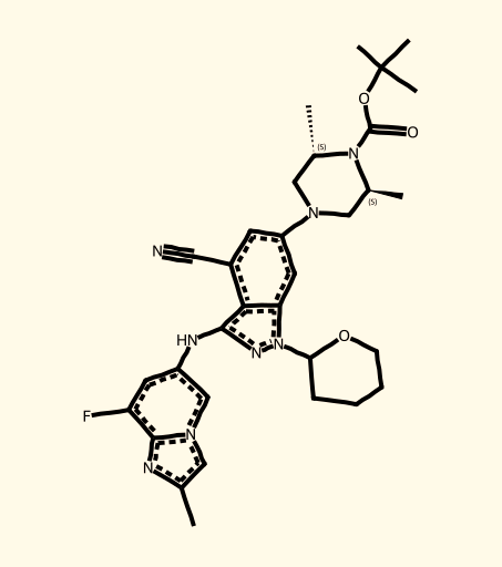 Cc1cn2cc(Nc3nn(C4CCCCO4)c4cc(N5C[C@H](C)N(C(=O)OC(C)(C)C)[C@@H](C)C5)cc(C#N)c34)cc(F)c2n1